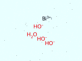 O.[Bi+3].[OH-].[OH-].[OH-]